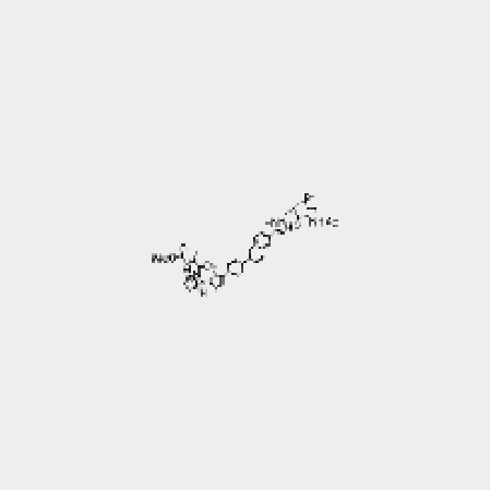 C=CC1(CN(Cc2ncc(-c3ccc4cc(-c5ccc(-c6cnc([C@@H]7[C@H]8CC[C@H](C8)N7C(=O)[C@H](C)NC(=O)OC)[nH]6)cc5)ccc4c3)[nH]2)C(=O)CNC(C)=O)CC1